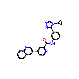 O=C(Nc1cccc(-c2nncn2C2CC2)c1)c1cc(-c2cnc3ccccc3c2)ccn1